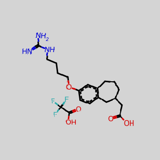 N=C(N)NCCCCOc1ccc2c(c1)CCCC(CC(=O)O)C2.O=C(O)C(F)(F)F